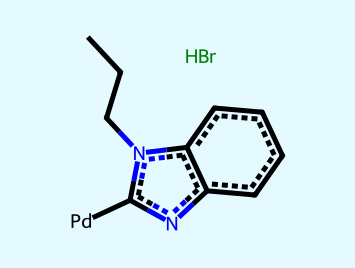 Br.CCCn1[c]([Pd])nc2ccccc21